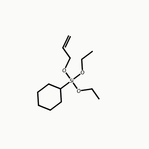 C=CCO[Si](OCC)(OCC)C1CCCCC1